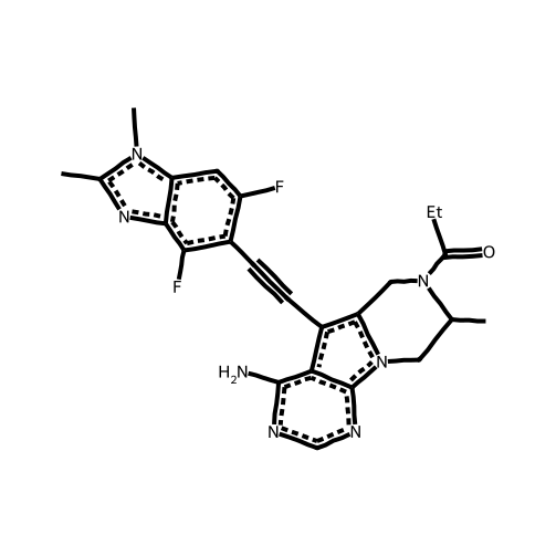 CCC(=O)N1Cc2c(C#Cc3c(F)cc4c(nc(C)n4C)c3F)c3c(N)ncnc3n2CC1C